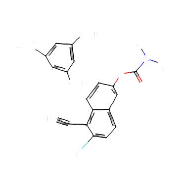 C#Cc1c(F)ccc2cc(OC(=O)N(C)C)ccc12.O=C(O)c1cc(C(=O)O)cc(C(=O)O)c1